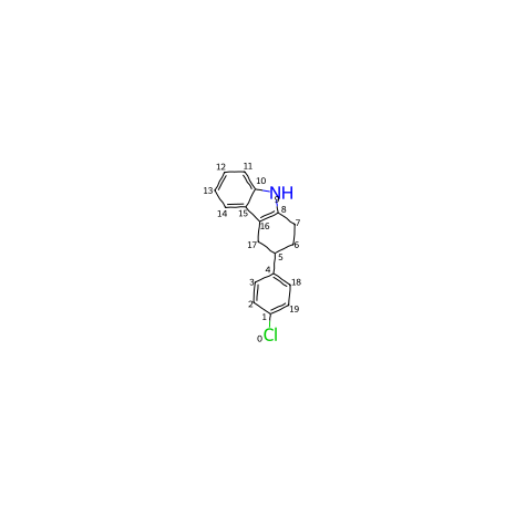 Clc1ccc(C2CCc3[nH]c4ccccc4c3C2)cc1